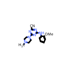 COc1ccccc1Nc1nc(C#N)nc(N2CCN(C)CC2)n1